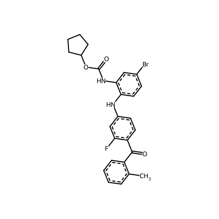 Cc1ccccc1C(=O)c1ccc(Nc2ccc(Br)cc2NC(=O)OC2CCCC2)cc1F